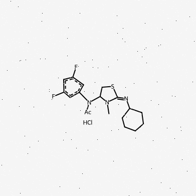 CC(=O)N(c1cc(F)cc(F)c1)C1CSC(=NC2CCCCC2)N1C.Cl